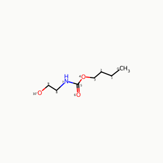 CCCCOC(=O)NCC[O]